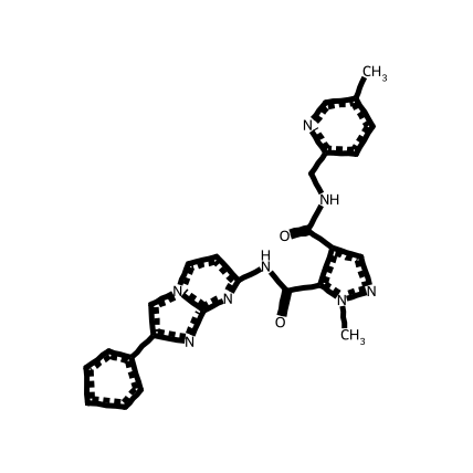 Cc1ccc(CNC(=O)c2cnn(C)c2C(=O)Nc2ccn3cc(-c4ccccc4)nc3n2)nc1